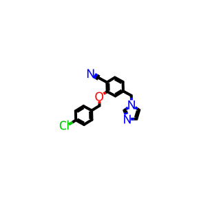 N#Cc1ccc(Cn2ccnc2)cc1OCc1ccc(Cl)cc1